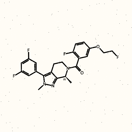 C[C@H]1c2nn(C)c(-c3cc(F)cc(F)c3)c2CCN1C(=O)c1cc(OCCF)ccc1F